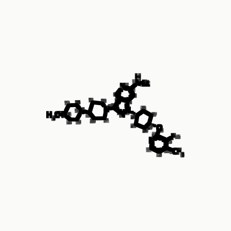 CCNc1cc2c(cn1)c(N1CCC(N3CCN(C)CC3)CC1)nn2[C@H]1CC[C@@H](Oc2nccc(C(F)(F)F)c2F)CC1